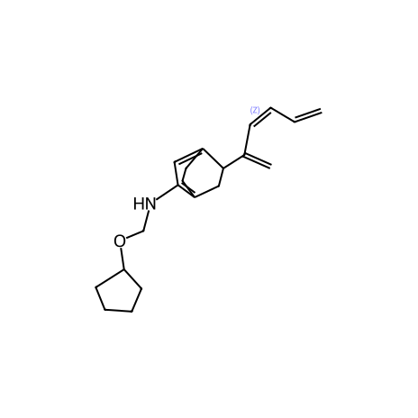 C=C/C=C\C(=C)C1CC2=C(NCOC3CCCC3)C=C1CC2